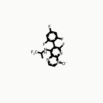 CC(Nc1c(-c2c(F)cc(F)cc2F)c(F)nc2c1ncc[n+]2[O-])C(F)(F)F